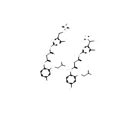 CC(C)COc1cc(F)ccc1NC(=O)CC(=O)Nc1nc(C(N)S(C)(=O)=O)c(Br)s1.CC(C)COc1cc(F)ccc1NC(=O)CC(=O)Nc1nc(CNS(C)(=O)=O)c(Cl)s1